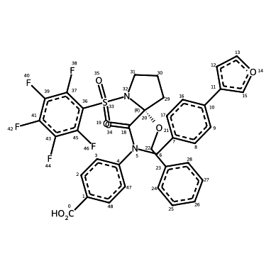 O=C(O)c1ccc(N(Cc2ccc(-c3ccoc3)cc2)C(=O)[C@]2(OCc3ccccc3)CCCN2S(=O)(=O)c2c(F)c(F)c(F)c(F)c2F)cc1